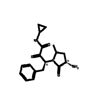 CC1C[C@H](N)C(=O)N1[C@@H](Cc1ccccc1)C(=O)C(=O)NC1CC1